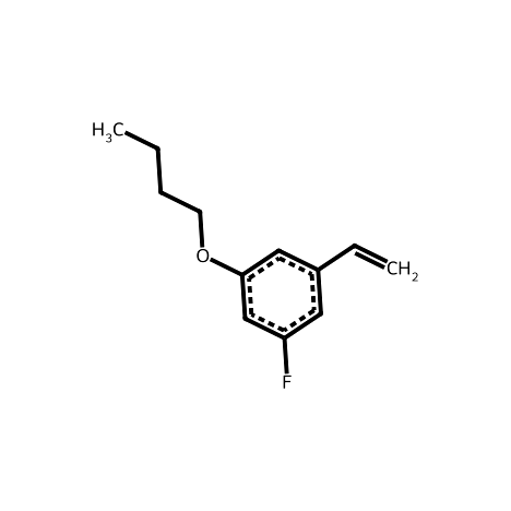 C=Cc1cc(F)cc(OCCCC)c1